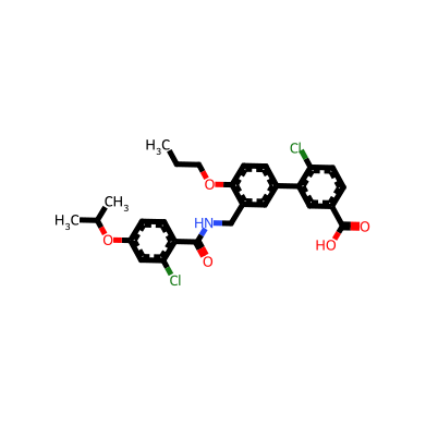 CCCOc1ccc(-c2cc(C(=O)O)ccc2Cl)cc1CNC(=O)c1ccc(OC(C)C)cc1Cl